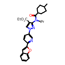 CCOC(=O)c1cn(-c2ccc(-c3cc4ccccc4o3)nc2)nc1N(C(=O)C1CCC(C)CC1)C(C)C